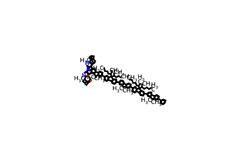 CCCCCCC(CC)C1(C(CC)CCCCC)c2cc(-c3ccc4c(c3)C(C)(C)c3cc(-c5ccccc5)ccc3-4)ccc2-c2ccc(-c3ccc4c(c3)C(C)(C)c3cc(-c5ccc6c(c5)C(C(CC)CCCC)(C(CC)CCCCC)c5cc(-c7ccc8c(c7)C(C)(C)c7c-8cc8c9c%10c(ncc9n9c%11cnc%12c(c%11c7c89)C7CC8CC9CC%12(C)C89C7)C7(C)CC8CC%10CC7C8)ccc5-6)ccc3-4)cc21